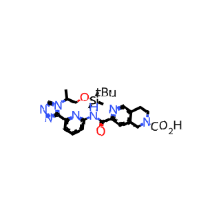 CC(CO[Si](C)(C)C(C)(C)C)n1cnnc1-c1cccc(NC(=O)c2cc3c(cn2)CCN(C(=O)O)C3)n1